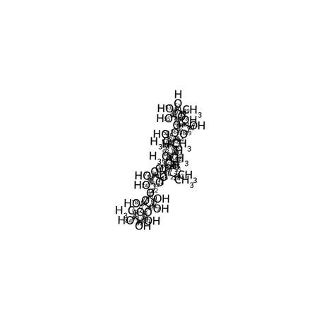 C[C@@H]1OC(O[C@H]2[C@H](O)[C@@H](O)C(OCC3OC(OC(=O)[C@]45CCC(C)(C)C[C@H]4[C@H]4CC[C@@H]6[C@@]7(C)CC[C@H](OC8OC[C@H](O)[C@H](O)[C@H]8O[C@@H]8O[C@H](C)[C@H](O)[C@@H](O)[C@H]8O)C(C)(CO)[C@@H]7CC[C@@]6(C)[C@]4(C)CC5)[C@H](O)[C@@H](O)[C@@H]3O)O[C@@H]2CO)[C@H](O)[C@H](O)[C@H]1O